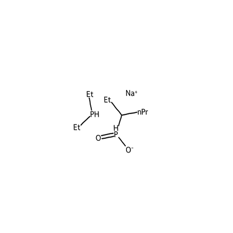 CCCC(CC)[PH](=O)[O-].CCPCC.[Na+]